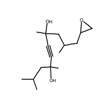 CC(C)CC(C)(O)C#CC(C)(O)CC(C)CC1CO1